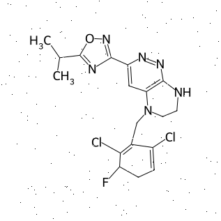 CC(C)c1nc(-c2cc3c(nn2)NCCN3CC2=C(Cl)C(F)CC=C2Cl)no1